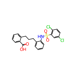 O=C(O)c1ccccc1CCCc1ccccc1NS(=O)(=O)c1cc(Cl)ccc1Cl